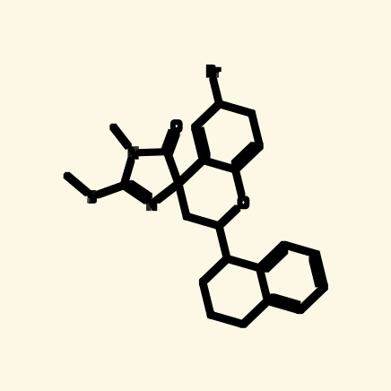 CSC1=NC2(CC(C3CCCc4ccccc43)OC3=CCC(Br)C=C32)C(=O)N1C